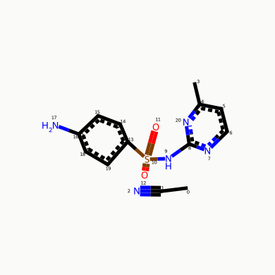 CC#N.Cc1ccnc(NS(=O)(=O)c2ccc(N)cc2)n1